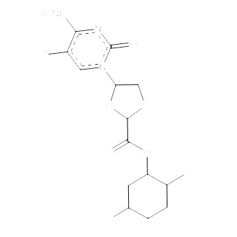 CC(=O)Nc1nc(=O)n(C2CSC(C(=O)OC3CC(C)CCC3C(C)C)O2)cc1F